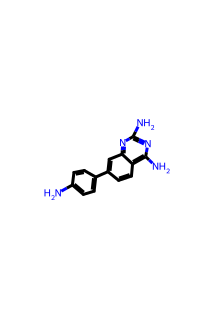 Nc1ccc(-c2ccc3c(N)nc(N)nc3c2)cc1